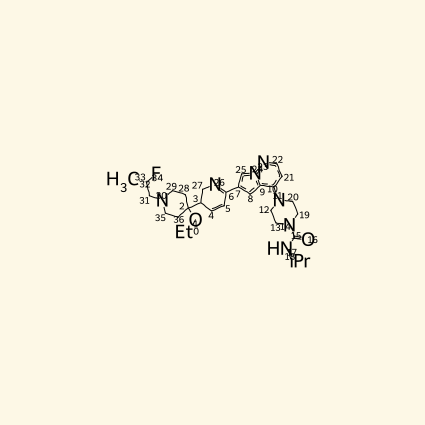 CCOC1(C2C=CC(c3cc4c(N5CCN(C(=O)NC(C)C)CC5)ccnn4c3)=NC2)CCN(C[C@H](C)F)CC1